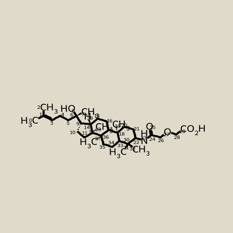 CC(C)=CCC[C@](C)(O)[C@H]1CC[C@@]2(C)[C@H]1CCC1[C@@]3(C)CCC(NC(=O)COCC(=O)O)C(C)(C)C3CC[C@]12C